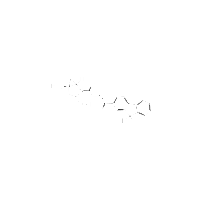 CCOC(=O)[C@@H]1C[C@]2(C)C[C@@H]2N1C(=O)CNC(=O)c1ccc2c(c1)C(F)(F)c1ccccc1-2